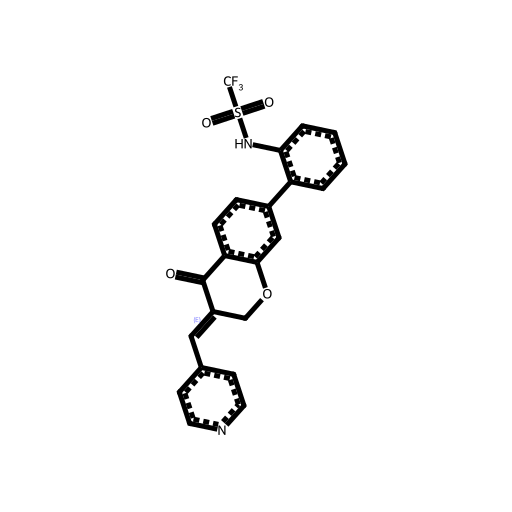 O=C1/C(=C/c2ccncc2)COc2cc(-c3ccccc3NS(=O)(=O)C(F)(F)F)ccc21